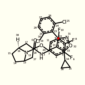 O=C(Nc1cc(F)c(F)c(F)c1)N1C2CC[C@H]1CC(OCc1c(-c3c(Cl)cccc3Cl)noc1C1CC1)C2